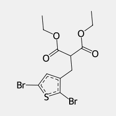 CCOC(=O)C(Cc1cc(Br)sc1Br)C(=O)OCC